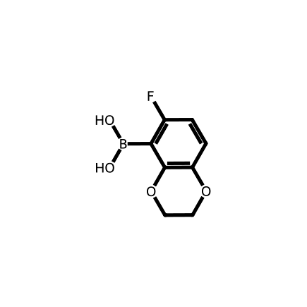 OB(O)c1c(F)ccc2c1OCCO2